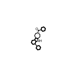 O=C(c1ccccc1)N1CCc2[nH]c3c(-c4ccccc4)cccc3c2CC1